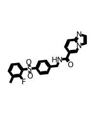 Cc1cccc(S(=O)(=O)c2ccc(CNC(=O)c3ccc4nccn4c3)cc2)c1F